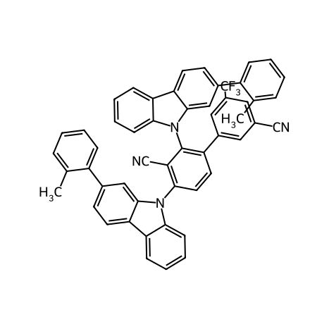 Cc1ccccc1-c1ccc2c3ccccc3n(-c3ccc(-c4cc(C#N)cc(C(F)(F)F)c4)c(-n4c5ccccc5c5ccc(-c6ccccc6C)cc54)c3C#N)c2c1